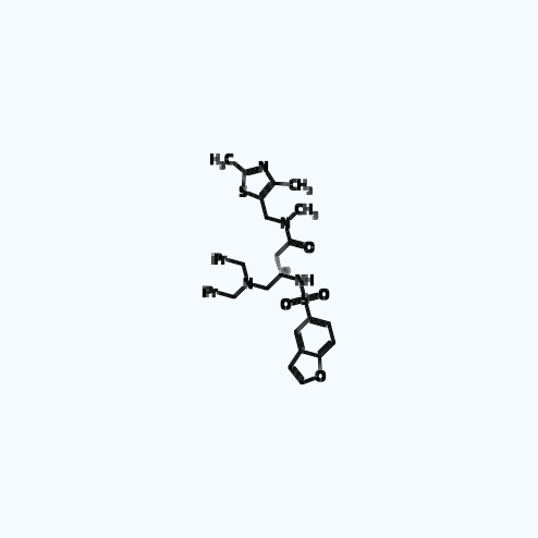 Cc1nc(C)c(CN(C)C(=O)C[C@@H](CN(CC(C)C)CC(C)C)NS(=O)(=O)c2ccc3occc3c2)s1